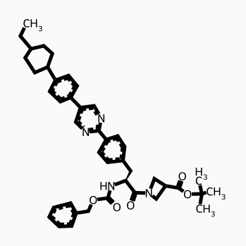 CCC1CCC(c2ccc(-c3cnc(-c4ccc(C[C@H](NC(=O)OCc5ccccc5)C(=O)N5CC(C(=O)OC(C)(C)C)C5)cc4)nc3)cc2)CC1